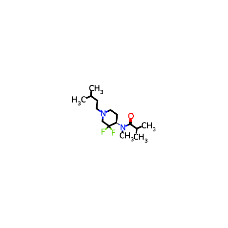 CC(C)CCN1CC[C@H](N(C)C(=O)C(C)C)C(F)(F)C1